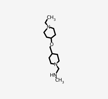 CCN1CCC(OCC2CCN(CNC)CC2)CC1